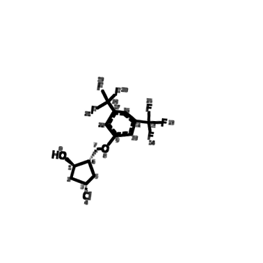 O[C@@H]1C[C@@H](Cl)C[C@H]1COc1cc(C(F)(F)F)cc(C(F)(F)F)c1